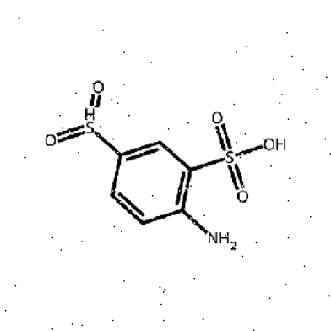 Nc1ccc([SH](=O)=O)cc1S(=O)(=O)O